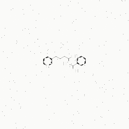 CC(CCCc1cccnc1)NC(C)c1ccccc1